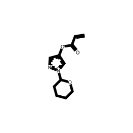 C=CC(=O)Oc1cnn(C2CCCCO2)c1